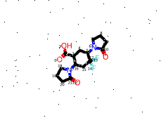 O=C(O)C1CC(N2CCCC2=O)C(F)(F)CC1N1CCCC1=O